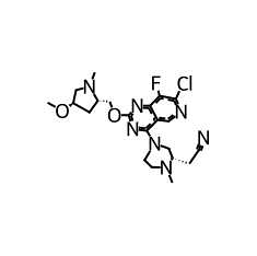 CO[C@@H]1C[C@@H](COc2nc(N3CCN(C)[C@@H](CC#N)C3)c3cnc(Cl)c(F)c3n2)N(C)C1